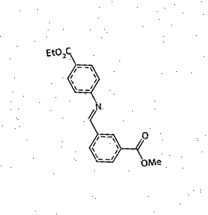 CCOC(=O)c1ccc(N=Cc2cccc(C(=O)OC)c2)cc1